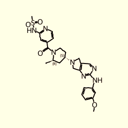 COc1cccc(Nc2ncc3c(n2)CN([C@H]2CCN(C(=O)c4ccnc(NS(C)(=O)=O)c4)[C@H](C)C2)C3)c1